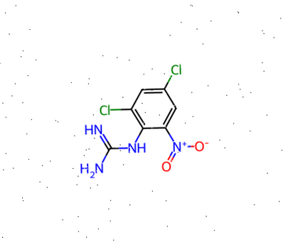 N=C(N)Nc1c(Cl)cc(Cl)cc1[N+](=O)[O-]